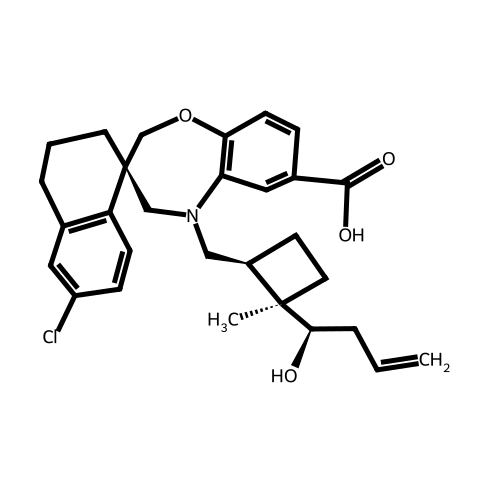 C=CC[C@@H](O)[C@]1(C)CC[C@@H]1CN1C[C@@]2(CCCc3cc(Cl)ccc32)COc2ccc(C(=O)O)cc21